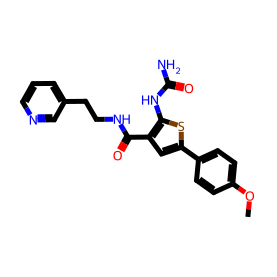 COc1ccc(-c2cc(C(=O)NCCc3cccnc3)c(NC(N)=O)s2)cc1